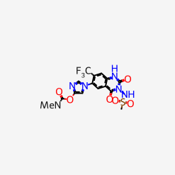 CNC(=O)Oc1cn(-c2cc3c(=O)n(NS(C)(=O)=O)c(=O)[nH]c3cc2C(F)(F)F)cn1